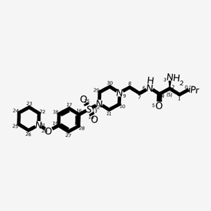 CC(C)C[C@H](N)C(=O)NCCN1CCN(S(=O)(=O)c2ccc(ON3CCCCC3)cc2)CC1